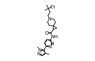 CCC(C)(C)CCN1CCC2(CC1)CC2C(=O)Nc1ccc(-c2c(C)cnn2C)nn1